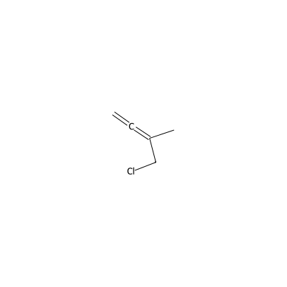 C=C=C(C)CCl